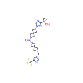 O=C(N1CC2(CC(Cn3cnc(C(F)(F)F)c3)C2)C1)N1CC2(CC(n3cnc(C4(O)CC4)n3)C2)C1